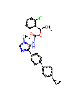 C[C@@H](OC(=O)Nc1c(-c2ccc(-c3ccc(C4CC4)cc3)cc2)ncn1C)c1ccccc1Cl